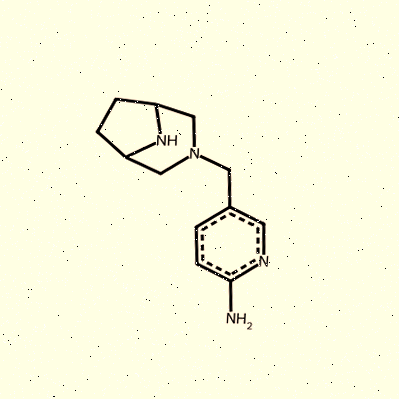 Nc1ccc(CN2CC3CCC(C2)N3)cn1